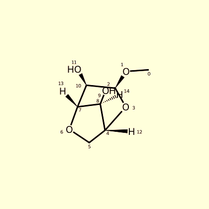 CO[C@H]1O[C@@H]2CO[C@@H]([C@H]2O)[C@H]1O